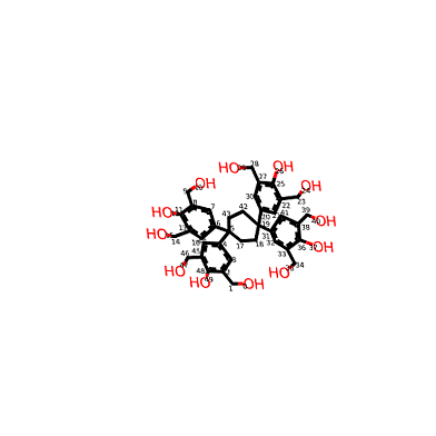 OCc1cc(C2(c3cc(CO)c(O)c(CO)c3)CCC(c3cc(CO)c(O)c(CO)c3)(c3cc(CO)c(O)c(CO)c3)CC2)cc(CO)c1O